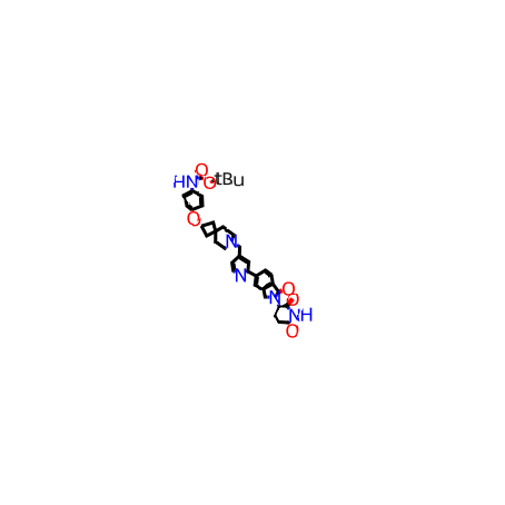 CC(C)(C)OC(=O)Nc1ccc(OC2CC3(CCN(Cc4ccnc(-c5ccc6c(c5)CN(C5CCC(=O)NC5=O)C6=O)c4)CC3)C2)cc1